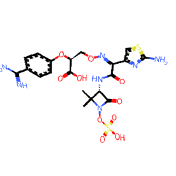 CC1(C)[C@H](NC(=O)/C(=N\OC[C@H](Oc2ccc(C(=N)N)cc2)C(=O)O)c2csc(N)n2)C(=O)N1OS(=O)(=O)O